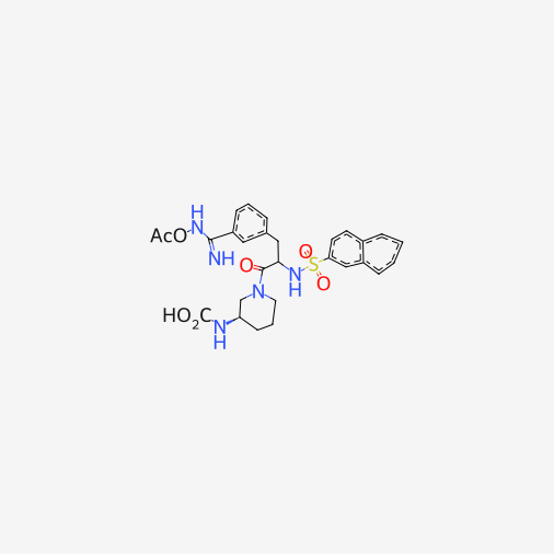 CC(=O)ONC(=N)c1cccc(CC(NS(=O)(=O)c2ccc3ccccc3c2)C(=O)N2CCC[C@@H](NC(=O)O)C2)c1